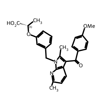 COc1ccc(C(=O)c2c(C)n(Cc3cccc(O[C@@H](C)C(=O)O)c3)c3nc(C)ccc23)cc1